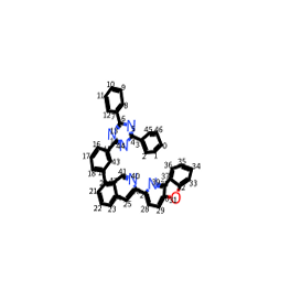 c1ccc(-c2nc(-c3ccccc3)nc(-c3cccc(-c4cccc5cc(-c6ccc7oc8ccccc8c7n6)ncc45)c3)n2)cc1